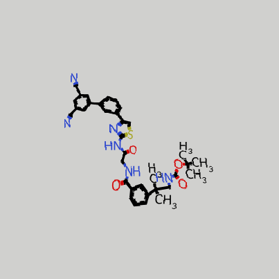 CC(C)(C)OC(=O)NCC(C)(C)c1cccc(C(=O)NCC(=O)Nc2nc(-c3cccc(-c4cc(C#N)cc(C#N)c4)c3)cs2)c1